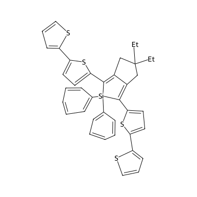 CCC1(CC)CC2=C(c3ccc(-c4cccs4)s3)[Si](c3ccccc3)(c3ccccc3)C(c3ccc(-c4cccs4)s3)=C2C1